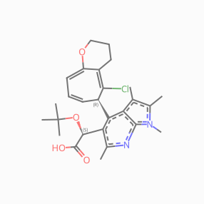 Cc1nc2c(c(C)c(C)n2C)c([C@H]2C=CC=C3OCCCC3=C2Cl)c1[C@H](OC(C)(C)C)C(=O)O